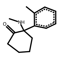 CNC1(c2ccccc2C)CCCCC1=O